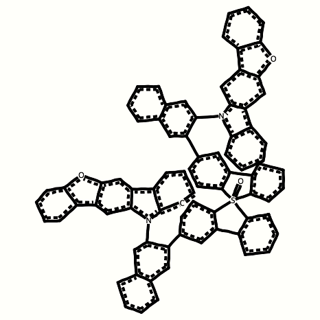 O=S12(c3ccccc3-c3cc(-c4cc5ccccc5cc4-n4c5ccccc5c5cc6oc7ccccc7c6cc54)ccc31)c1ccccc1-c1cc(-c3cc4ccccc4cc3-n3c4ccccc4c4cc5oc6ccccc6c5cc43)ccc12